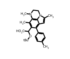 Cc1ccc(-c2c(C(OC(C)(C)C)C(=O)O)c(C)c3c4c2cc(C)n4CCN3C)cc1